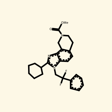 COC(=O)N1CCc2ccc3c(nc(C4CCCCC4)n3CC(F)(F)c3ccccc3)c2C1